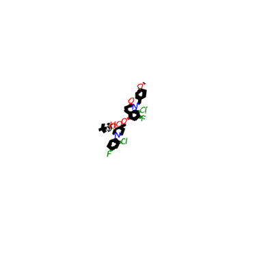 COc1ccc(CN2C(=O)CCc3c(OCC4(O)CCN(c5ccc(F)cc5Cl)CC4O[Si](C)(C)C(C)(C)C)cc(F)c(Cl)c32)cc1